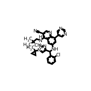 CC(C)(C)CNc1c(C#N)cnc2c(-c3cncnc3)cc(NC(c3cn(C4(C)CC4)nn3)c3ccccc3Cl)cc12